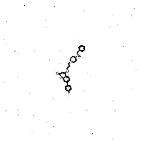 CN(Cc1ccccc1)C1CCN(CCCOC2=CC(=O)OC3CC(c4ccc(F)cc4)=CC=C23)CC1